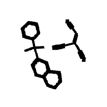 CC(C)(c1ccccc1)c1ccc2ccccc2c1.N#CC=C(C#N)C#N